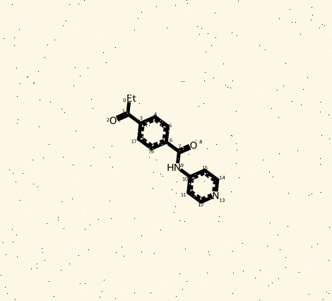 CCC(=O)c1ccc(C(=O)Nc2ccncc2)cc1